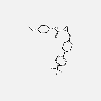 CC[C@H]1CC[C@H](NC(=O)[C@@H]2C[C@H]2CN2CCN(c3ccc(C(F)(F)F)cc3)CC2)CC1